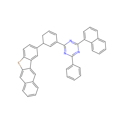 C1=CC(c2nc(-c3ccccc3)nc(-c3cccc4ccccc34)n2)=CC(c2ccc3sc4cc5ccccc5cc4c3c2)C1